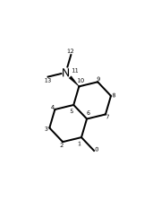 CC1CCCC2C1CCC[C@@H]2N(C)C